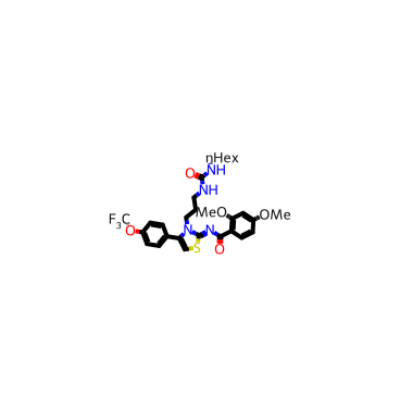 CCCCCCNC(=O)NCCCn1c(-c2ccc(OC(F)(F)F)cc2)cs/c1=N\C(=O)c1ccc(OC)cc1OC